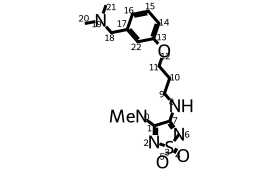 CNC1=NS(=O)(=O)N=C1NCCCOc1cccc(CN(C)C)c1